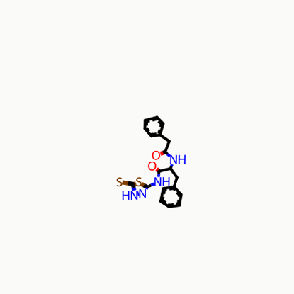 O=C(Cc1ccccc1)NC(Cc1ccccc1)C(=O)Nc1n[nH]c(=S)s1